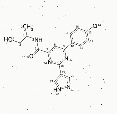 CC(CO)NC(=O)c1cc(-c2ccc(Cl)cc2)nc(-c2cn[nH]c2)n1